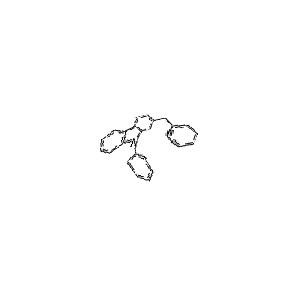 c1ccc(Cc2ccc3c4ccccc4n(-c4ccccc4)c3c2)cc1